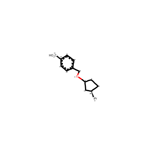 CC(C)[C@@H]1CCC(OCc2ccc(C(=O)O)cc2)C1